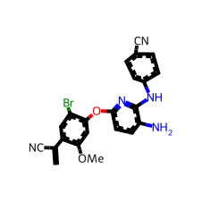 C=C(C#N)c1cc(Br)c(Oc2ccc(N)c(Nc3ccc(C#N)cc3)n2)cc1OC